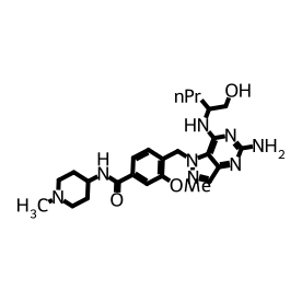 CCCC(CO)Nc1nc(N)nc2cnn(Cc3ccc(C(=O)NC4CCN(C)CC4)cc3OC)c12